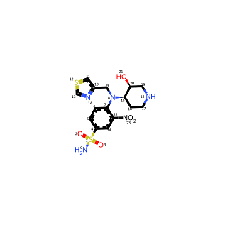 NS(=O)(=O)c1ccc(N(Cc2cscn2)[C@@H]2CCNC[C@@H]2O)c([N+](=O)[O-])c1